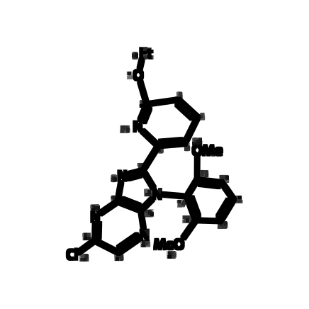 CCOc1cccc(-c2nc3nc(Cl)cnc3n2-c2c(OC)cccc2OC)n1